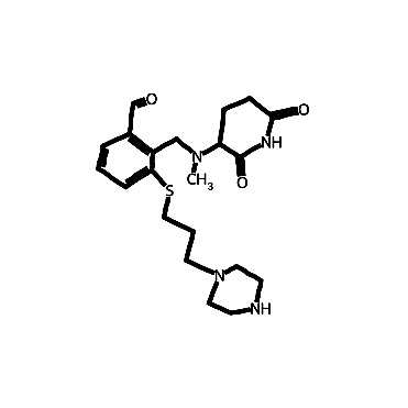 CN(Cc1c(C=O)cccc1SCCCN1CCNCC1)C1CCC(=O)NC1=O